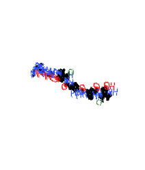 CN(C)c1nc(N(C)C)nc(N(C)C)n1.Cc1c[nH]c2c(O)cc3c(c12)[C@H](CCl)CN3C(=O)c1cc2cc(NC(=O)Nc3ccc4[nH]c(C(=O)N5C[C@@H](CCl)c6c5cc(O)c5[nH]cc(C)c65)cc4c3)ccc2[nH]1